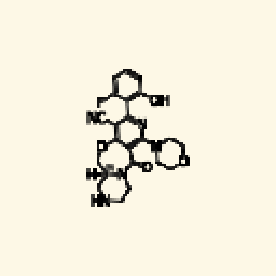 N#Cc1c(-c2c(O)cccc2F)nc(N2CCOCC2)c2c1OC[C@H]1CNCCN1C2=O